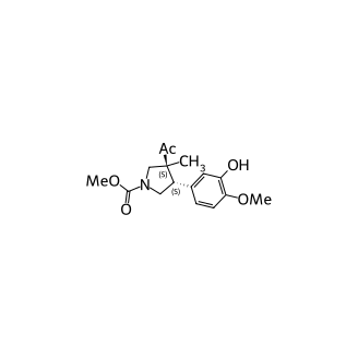 COC(=O)N1C[C@@H](c2ccc(OC)c(O)c2)[C@](C)(C(C)=O)C1